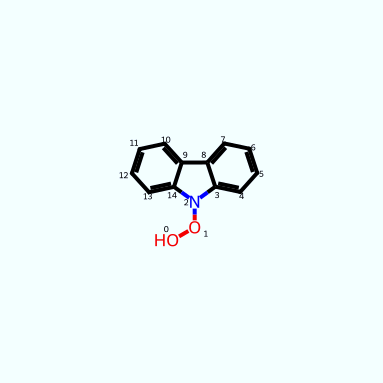 OOn1c2ccccc2c2ccccc21